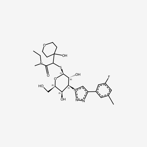 CCN(C)C(=O)C(S[C@@H]1O[C@H](CO)[C@H](O)[C@H](n2cc(-c3cc(C)cc(F)c3)nn2)[C@H]1O)C1(O)CCOCC1